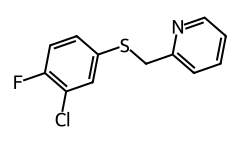 Fc1ccc(SCc2ccccn2)cc1Cl